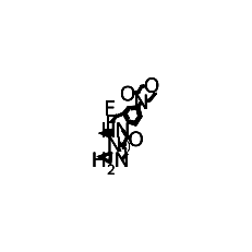 NC[C@H](C(=O)Nc1ccc(N2CCOCC2=O)cc1C(F)F)N(C1CC1)C1CC1